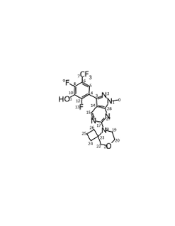 Cn1nc(-c2cc(C(F)(F)F)c(F)c(O)c2F)c2cnc(N3CCOCC34CCC4)nc21